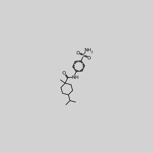 CC(C)C1CCC(C)(C(=O)Nc2ccc(S(N)(=O)=O)cc2)CC1